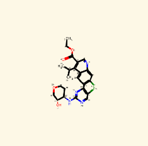 CCOC(=O)c1cnc2cc(F)c(-c3nc(N[C@@H]4CCOC[C@H]4O)ncc3F)cc2c1C(C)C